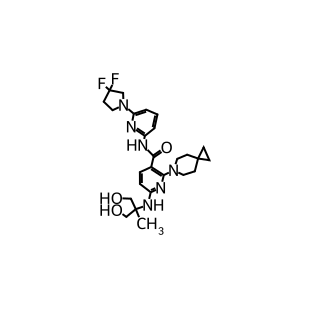 CC(CO)(CO)Nc1ccc(C(=O)Nc2cccc(N3CCC(F)(F)C3)n2)c(N2CCC3(CC2)CC3)n1